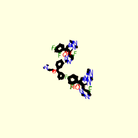 CN(C)CCOC(c1ccccc1)c1ccccc1.C[C@@H](c1ncncc1F)[C@](O)(Cn1cncn1)c1ccc(F)cc1F.C[C@@H](c1ncncc1F)[C@](O)(Cn1cncn1)c1ccc(F)cc1F